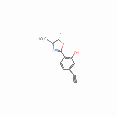 C#Cc1ccc(C2=N[C@@H](C(=O)O)[C@H](C)O2)c(O)c1